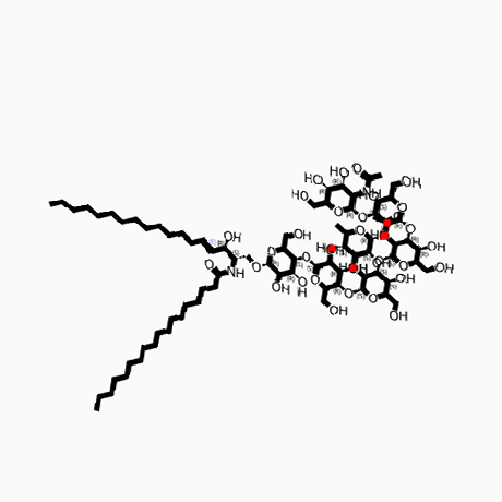 CCCCCCCCCCCCC/C=C/[C@@H](O)[C@H](CO[C@@H]1OC(CO)[C@@H](O[C@@H]2OC(CO)[C@H](O[C@@H]3OC(CO)[C@H](O)[C@H](O[C@@H]4OC(CO)[C@H](O)[C@H](O[C@@H]5OC(CO)[C@H](O)[C@H](O[C@H]6OC(CO)[C@H](O)[C@H](O)C6NC(C)=O)C5O[C@H]5OC(C)[C@@H](O)C(O)[C@@H]5O)C4NC(C)=O)C3O)[C@H](O)C2O)[C@H](O)C1O)NC(=O)CCCCCCCCCCCCCCCCC